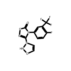 O=c1onc(N2C=CON2)n1-c1ccc(F)c(C(F)(F)F)c1